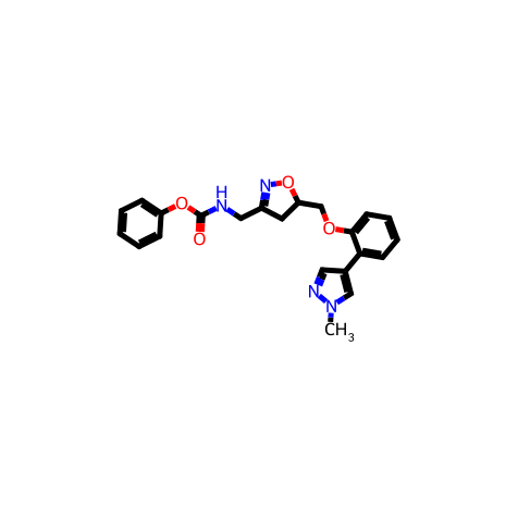 Cn1cc(-c2ccccc2OCC2CC(CNC(=O)Oc3ccccc3)=NO2)cn1